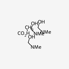 CC(=O)O.CNCO.CNCO.CNCO